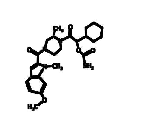 COc1ccc2cc(C(=O)N3CCN(C(=O)C(OC(N)=O)C4CCCCC4)[C@@H](C)C3)n(C)c2c1